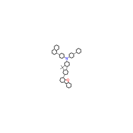 CC1(C)c2cc(-c3cccc4c3oc3ccccc34)ccc2-c2ccc(N(c3ccc(-c4ccccc4)cc3)c3ccc(-c4cccc5ccccc45)cc3)cc21